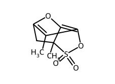 Cc1c2oc3c1OS(=O)(=O)C3(C)C2